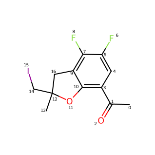 CC(=O)c1cc(F)c(F)c2c1OC(C)(CI)C2